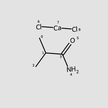 CC(C)C(N)=O.[Cl][Ca][Cl]